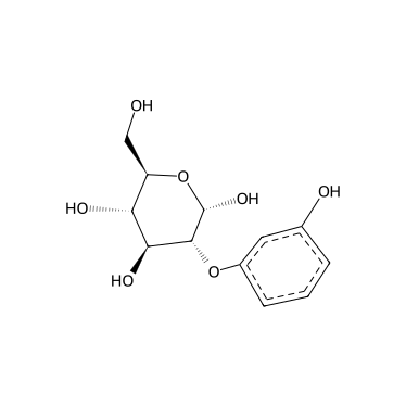 OC[C@H]1O[C@H](O)[C@H](Oc2cccc(O)c2)[C@@H](O)[C@@H]1O